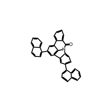 O=c1c2ccccc2c2cc(-c3cccc4ccccc34)cc3c4cc(-c5cccc6ccccc56)ccc4n1c23